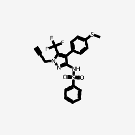 C#CCn1nc(NS(=O)(=O)c2ccccc2)c(-c2ccc(SC)cc2)c1C(F)(F)F